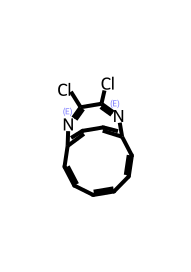 ClC1=N/c2ccccccc(cc2)/N=C\1Cl